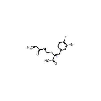 C=CC(=O)NCC/C(=C\c1ccc(F)c(Br)c1)C(=O)O